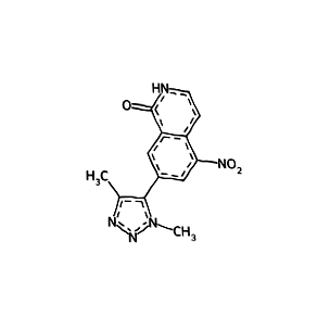 Cc1nnn(C)c1-c1cc([N+](=O)[O-])c2cc[nH]c(=O)c2c1